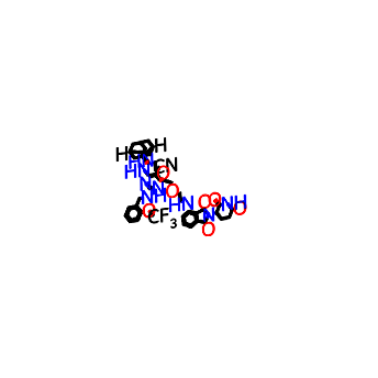 N#Cc1cnc(NCc2ccccc2OC(F)(F)F)nc1NCC12CC3C[C@H](C1)C(NCCOCCOCCNc1cccc4c1C(=O)N(C1CCC(=O)NC1=O)C4=O)[C@@H](C3)C2